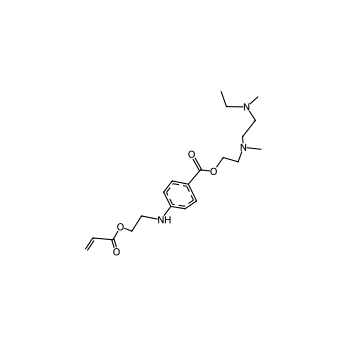 C=CC(=O)OCCNc1ccc(C(=O)OCCN(C)CCN(C)CC)cc1